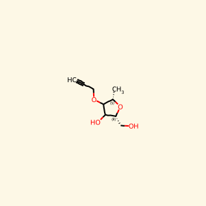 C#CCOC1C(O)[C@@H](CO)O[C@H]1C